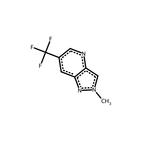 Cn1cc2ncc(C(F)(F)F)cc2n1